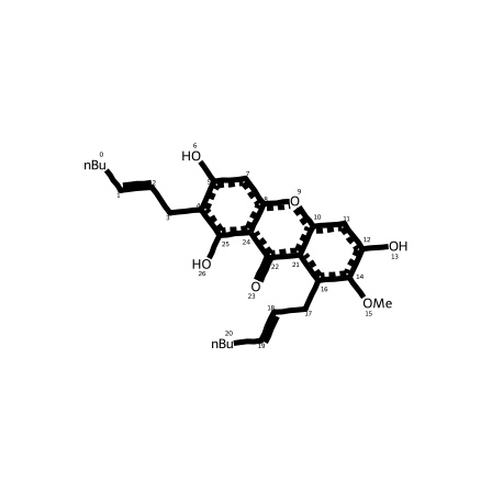 CCCCC=CCc1c(O)cc2oc3cc(O)c(OC)c(CC=CCCCC)c3c(=O)c2c1O